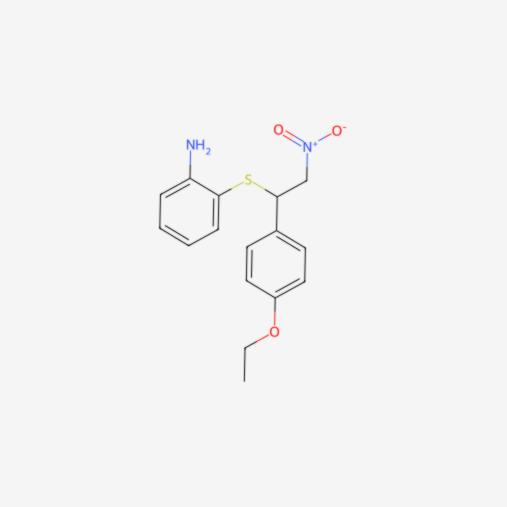 CCOc1ccc(C(C[N+](=O)[O-])Sc2ccccc2N)cc1